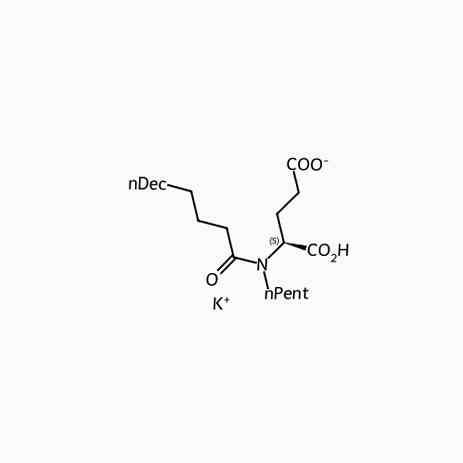 CCCCCCCCCCCCCC(=O)N(CCCCC)[C@@H](CCC(=O)[O-])C(=O)O.[K+]